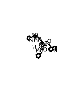 CN(C(=O)NCc1ccccc1)C1CN(Cc2cccc3ncccc23)C(=O)CN1C(=O)CNCc1cc(-c2ccccn2)no1